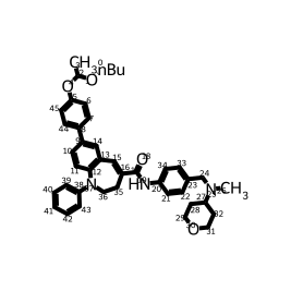 CCCCOC(C)Oc1ccc(-c2ccc3c(c2)C=C(C(=O)Nc2ccc(CN(C)C4CCOCC4)cc2)CCN3c2ccccc2)cc1